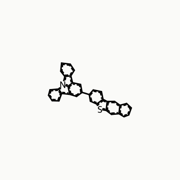 c1ccc2cc3c(cc2c1)sc1cc(-c2cc4c5ccccc5n5c6ccccc6c(c2)c45)ccc13